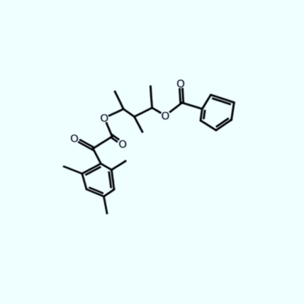 Cc1cc(C)c(C(=O)C(=O)OC(C)C(C)C(C)OC(=O)c2ccccc2)c(C)c1